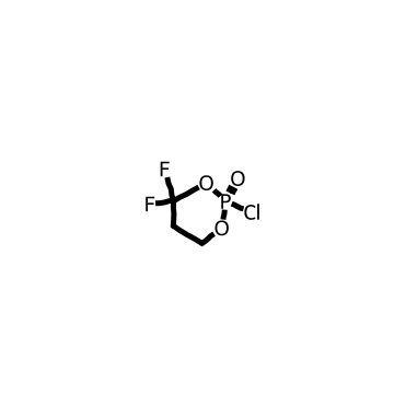 O=P1(Cl)OCCC(F)(F)O1